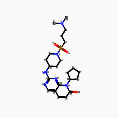 CCN(CC)CCCS(=O)(=O)N1CCC(Nc2ncc3ccc(=O)n(C4CCCC4)c3n2)CC1